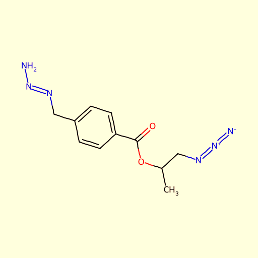 CC(CN=[N+]=[N-])OC(=O)c1ccc(CN=NN)cc1